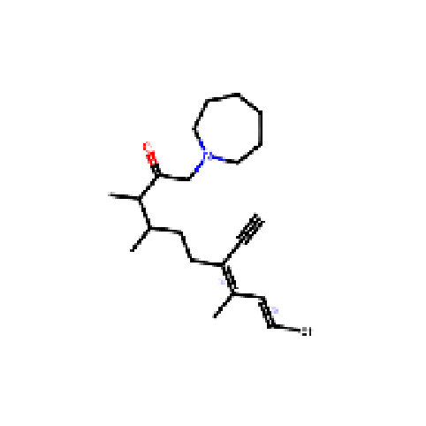 C#C/C(CCC(C)C(C)C(=O)CN1CCCCCC1)=C(C)\C=C\CC